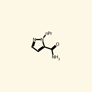 CCCn1nccc1C(N)=O